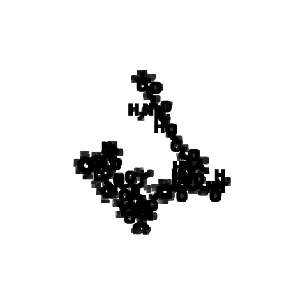 CC[C@H](C)[C@@H]([C@@H](CC(=O)N1CCC[C@H]1[C@H](OC)[C@@H](C)C(=O)N[C@@H](Cc1ccccc1)c1nccs1)OC)N(C)C(=O)[C@@H](NC(=O)[C@H](C(C)C)N(C)C(=O)OCc1ccc(NC(=O)[C@H](CCCNC(N)=O)NC(=O)[C@@H](NC(=O)CCOCCOCCNC(=O)[C@@H](N)CCC(=O)OC(C)(C)C)C(C)C)cc1)C(C)C